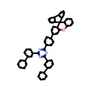 c1ccc(-c2cccc(-c3nc(-c4ccc(-c5ccc6c(c5)Oc5ccccc5C65c6ccccc6-c6ccccc65)cc4)nc(-c4cccc(-c5ccccc5)c4)n3)c2)cc1